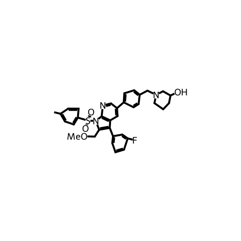 COCc1c(-c2cccc(F)c2)c2cc(-c3ccc(CN4CCCC(O)C4)cc3)cnc2n1S(=O)(=O)c1ccc(C)cc1